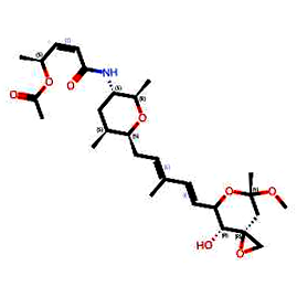 CO[C@]1(C)C[C@@]2(CO2)[C@H](O)C(/C=C/C(C)=C/C[C@@H]2O[C@H](C)[C@@H](NC(=O)/C=C\[C@H](C)OC(C)=O)C[C@@H]2C)O1